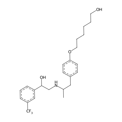 CC(Cc1ccc(OCCCCCCO)cc1)NCC(O)c1cccc(C(F)(F)F)c1